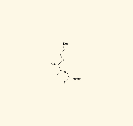 CCCCCCCCCCCCOC(=O)C(C)=CC(F)CCCCCC